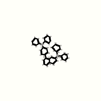 c1ccc(N(c2ccccc2)c2ccc(-c3cccc4ccc(N(c5ccccc5)c5ccccc5)cc34)cc2)cc1